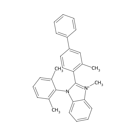 Cc1cc(-c2ccccc2)ccc1-c1n(-c2c(C)cccc2C)c2ccccc2[n+]1C